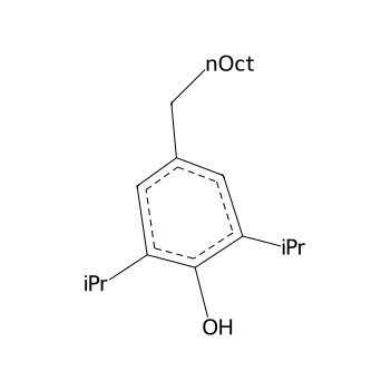 CCCCCCCCCc1cc(C(C)C)c(O)c(C(C)C)c1